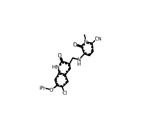 CC(C)Oc1cc2[nH]c(=O)c(CNc3ccc(C#N)n(C)c3=O)cc2cc1Cl